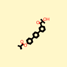 C=C(C)C(=O)Oc1ccc(-c2ccc(-c3cccc(C(=O)C(C)(C)O)c3)cc2)cc1